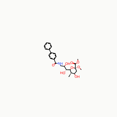 COC(=O)[C@@]1(OC)C[C@@H](O)[C@@H](C)C([C@H](O)[C@H](O)CNC(=O)c2ccc(-c3ccccc3)cc2)O1